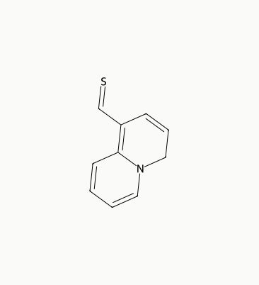 S=CC1=C2C=CC=CN2CC=C1